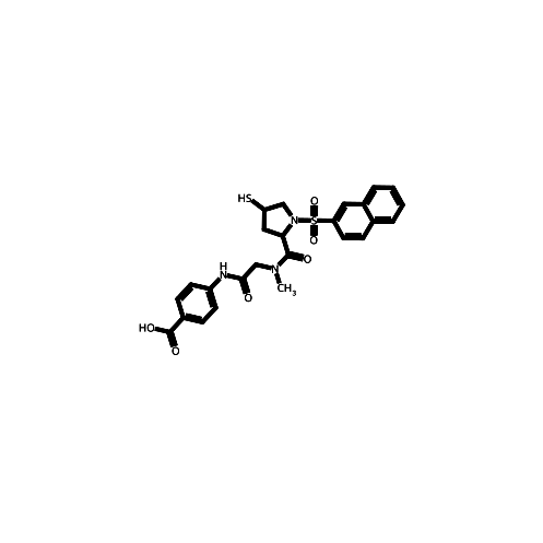 CN(CC(=O)Nc1ccc(C(=O)O)cc1)C(=O)C1CC(S)CN1S(=O)(=O)c1ccc2ccccc2c1